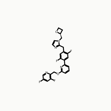 Fc1cnc(COc2cccc(-c3cc(F)c(Cc4nccn4C[C@@H]4CCO4)cc3F)n2)c(F)c1